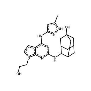 Cc1cc(Nc2nc(NC3C4CC5CC3CC(O)(C5)C4)nc3c2ccn3CCO)n[nH]1